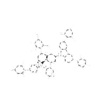 Cc1cc(C)c(-c2ccc3c(c2)c2cc(-c4c(C)cc(C)cc4C)ccc2n3-c2ccc(C#N)c(-c3cnccc3-n3c4ccc(-c5c(C)cc(C)cc5C)cc4c4cc(-c5c(C)cc(C)cc5C)ccc43)c2)c(C)c1